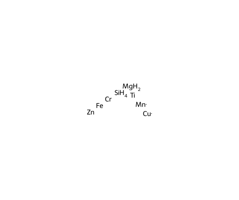 [Cr].[Cu].[Fe].[MgH2].[Mn].[SiH4].[Ti].[Zn]